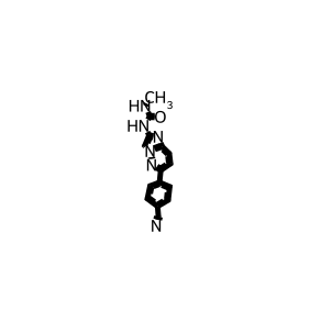 CNC(=O)Nc1cn2nc(-c3ccc(C#N)cc3)ccc2n1